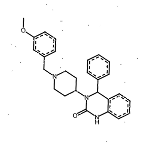 COc1cccc(CN2CCC(N3C(=O)Nc4ccccc4C3c3ccccc3)CC2)c1